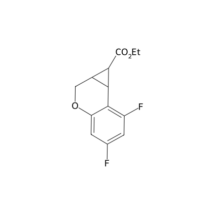 CCOC(=O)C1C2COc3cc(F)cc(F)c3C21